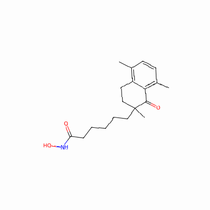 Cc1ccc(C)c2c1CCC(C)(CCCCCC(=O)NO)C2=O